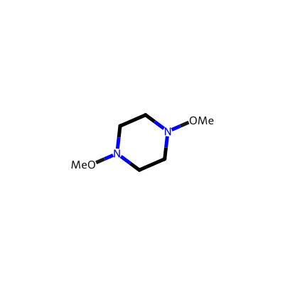 CON1CCN(OC)CC1